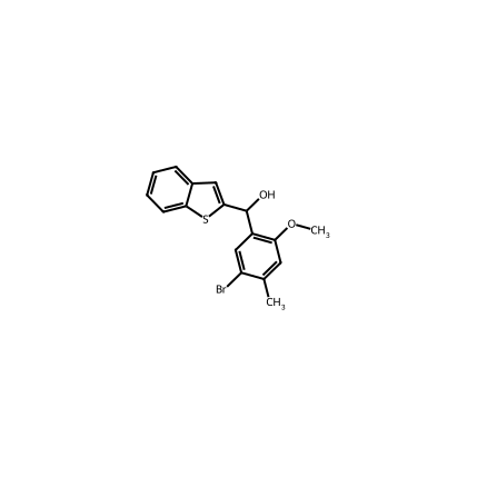 COc1cc(C)c(Br)cc1C(O)c1cc2ccccc2s1